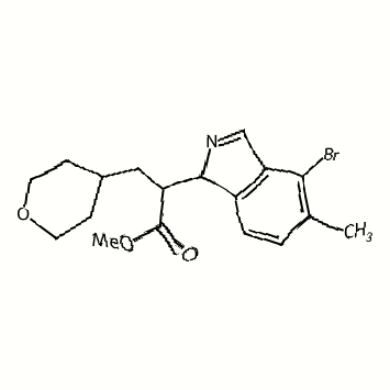 COC(=O)C(CC1CCOCC1)C1N=Cc2c1ccc(C)c2Br